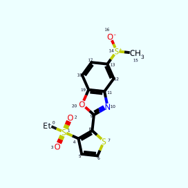 CCS(=O)(=O)c1ccsc1-c1nc2cc([S+](C)[O-])ccc2o1